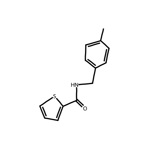 Cc1ccc(CNC(=O)c2cccs2)cc1